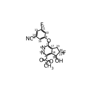 CS(=O)(=O)c1nnc(Oc2cc(F)cc(C#N)c2)c2c1[C@H](O)[C@H](F)C2